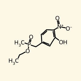 CCOP(C)(=O)Cc1ccc([N+](=O)[O-])c(O)c1